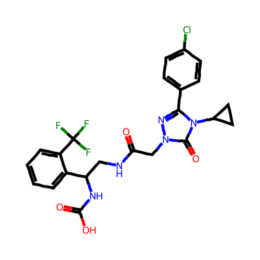 O=C(O)NC(CNC(=O)Cn1nc(-c2ccc(Cl)cc2)n(C2CC2)c1=O)c1ccccc1C(F)(F)F